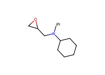 CC(C)N(CC1CO1)C1CCCCC1